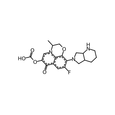 CC1COc2c(N3CC4CCCNC4C3)c(F)cc3c(=O)c(OC(=O)O)cn1c23